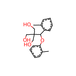 Cc1ccccc1OC(c1ccccc1C)C(CO)(CO)CO